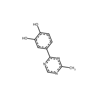 Cc1ncnc(-c2ccc(O)c(O)c2)n1